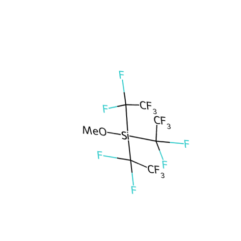 CO[Si](C(F)(F)C(F)(F)F)(C(F)(F)C(F)(F)F)C(F)(F)C(F)(F)F